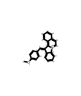 COc1ccc(/C=C2\c3ccccc3-[n+]3ccc4ccccc4c32)cc1